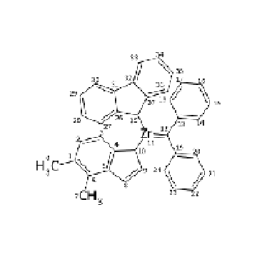 Cc1ccc2c(c1C)C=C[CH]2[Zr](=[C](c1ccccc1)c1ccccc1)[CH]1c2ccccc2-c2ccccc21